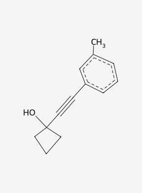 Cc1cccc(C#CC2(O)CCC2)c1